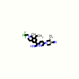 C=C1c2c(CC)cc(/C(C=N)=C3\C=CC(N4CCB(C#N)C(C)C4)=CN3)cc2CCN1CC(F)(F)F